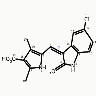 Cc1[nH]c(/C=C2\C(=O)Nc3ccc(Cl)cc32)c(C)c1C(=O)O